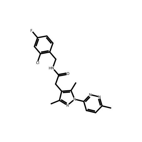 Cc1ccc(-n2nc(C)c(CC(=O)NCc3ccc(F)cc3Cl)c2C)nn1